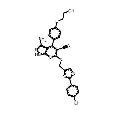 N#Cc1c(SCc2csc(-c3ccc(Cl)cc3)n2)nc2[nH]nc(N)c2c1-c1ccc(OCCO)cc1